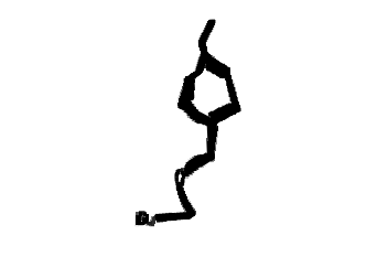 CCC(C)COCc1ccc(C)cc1